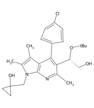 Cc1nc2c(c(C)c(C)n2CC2(O)CC2)c(-c2ccc(Cl)cc2)c1[C@@H](CO)OC(C)(C)C